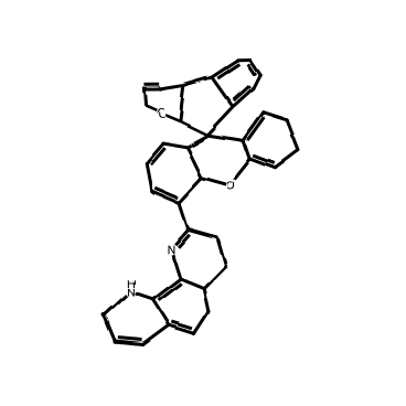 C1=CC2C(OC3=CCCC=C3C23c2ccccc2C2C=CCCC23)C(C2=NC3=C4NCC=CC4=CCC3CC2)=C1